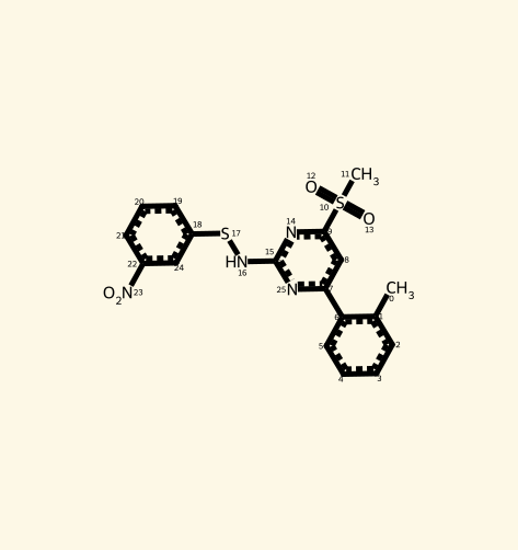 Cc1ccccc1-c1cc(S(C)(=O)=O)nc(NSc2cccc([N+](=O)[O-])c2)n1